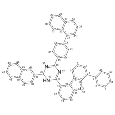 c1ccc(-c2cccc3c2oc2cccc(C4=NC(c5ccc(-c6cccc7ccccc67)cc5)=NC(c5ccc6ccccc6c5)N4)c23)cc1